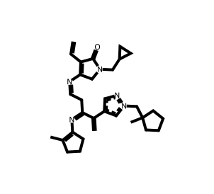 C=CC1=C(/N=C\C/C(=N/C2=C(C)CCC2)C(=C)c2cnn(CC3(C)CCCC3)c2)CN(CC2CC2)C1=O